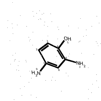 Nc1ccc(O)c(N)c1